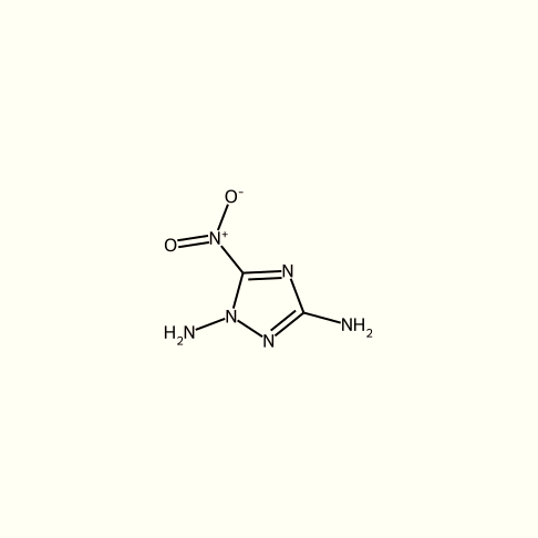 Nc1nc([N+](=O)[O-])n(N)n1